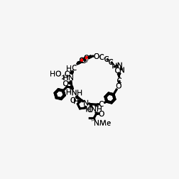 CN[C@@H](C)C(=O)N[C@@H]1Cc2ccc(cc2)OCc2cn(nn2)CCCOc2ccc(cc2)C[C@@H](C(=O)O)NC(=O)[C@@H](Cc2ccccc2)NC(=O)[C@@H]2CCCN2C1=O